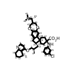 C[C@@H](COc1ccnc2c1[C@H](C)CCC2)C[C@H]1Cc2cc3c(cc2C12CCC(Nc1cccc(Cl)c1)(C(=O)O)CC2)OCC([C@@H](C)N(C)C)CO3